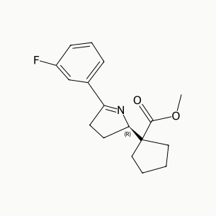 COC(=O)C1([C@H]2CCC(c3cccc(F)c3)=N2)CCCC1